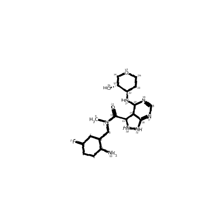 CN(CC1CC(F)CCC1N)C(=O)C1NNC2=NC=NC(N[C@@H]3CCOC[C@H]3O)C21